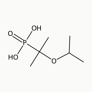 CC(C)OC(C)(C)P(=O)(O)O